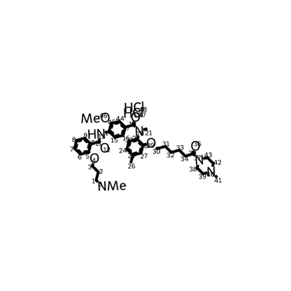 CNCCCOc1ccccc1C(=O)Nc1ccc(C(=O)N(C)c2ccc(C)cc2OCCCCCC(=O)N2CCN(C)CC2)cc1OC.Cl.Cl